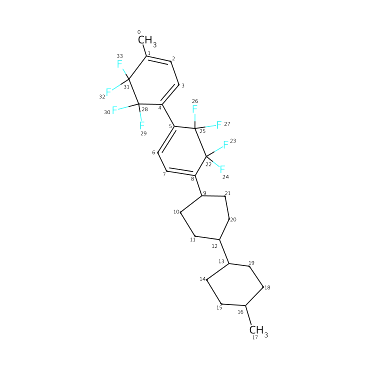 CC1=CC=C(C2=CC=C(C3CCC(C4CCC(C)CC4)CC3)C(F)(F)C2(F)F)C(F)(F)C1(F)F